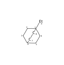 CCC12CCC(CC1)CC2